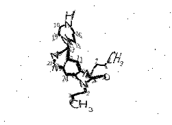 CCCn1c(=O)n(CCC)c2cc3c(N4CCNCC4)ncnc3cc21